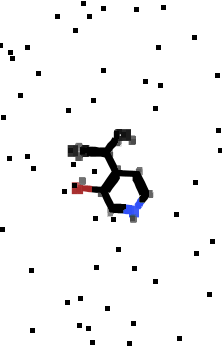 C=C(C)c1ccncc1Br